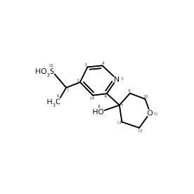 CC(c1ccnc(C2(O)CCOCC2)c1)S(=O)(=O)O